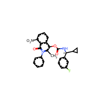 Cc1c(OC(=O)N[C@H](c2cccc(F)c2)C2CC2)c2cccc([N+](=O)[O-])c2c(=O)n1-c1ccccc1